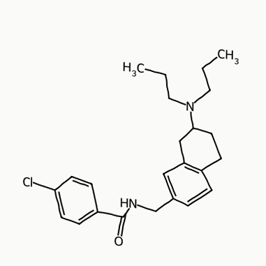 CCCN(CCC)C1CCc2ccc(CNC(=O)c3ccc(Cl)cc3)cc2C1